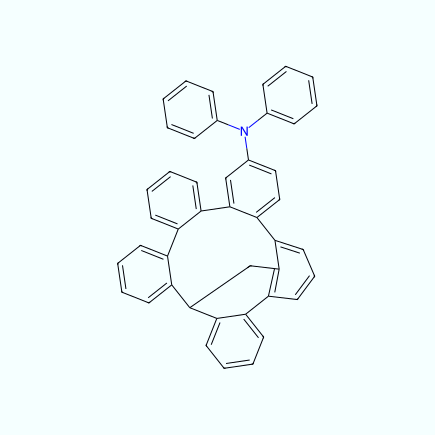 c1ccc(N(c2ccccc2)c2ccc3c(c2)-c2ccccc2-c2ccccc2C2Cc4c-3cccc4-c3ccccc32)cc1